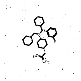 C=C(O)C[C@@H]1CC[C@@H](N(CC2CCCCC2)CC2CCCCC2)[C@H](c2c(F)cccc2F)C1